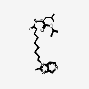 Cc1nc2cnccc2n1CCCCCCCCC(=O)N(C)[C@@H](CC(C)C)C(=O)OC(C)C